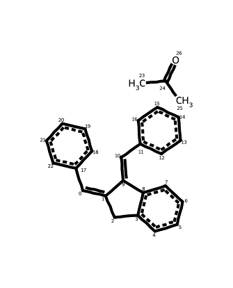 C(=C1Cc2ccccc2C1=Cc1ccccc1)c1ccccc1.CC(C)=O